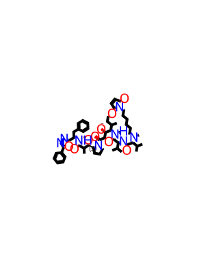 CCC(C)C(C(CC(=O)N1CCC[C@H]1C(OC)C(C)C(=O)NC(Cc1ccccc1)c1nnc(-c2ccccc2)o1)OC)N(C)C(=O)C(NC(=O)C(C(C)C)N(C)CCCCCCN1C(=O)C=CC1=O)C(C)C